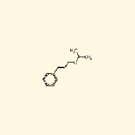 CC(C)OC/C=C/c1ccccc1